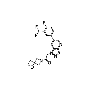 O=C(Cn1ncc2ncc(-c3ccc(F)c(C(F)F)c3)cc21)N1CC2(CCO2)C1